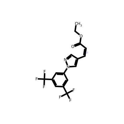 CCOC(=O)/C=C\c1cnn(-c2cc(C(F)(F)F)cc(C(F)(F)F)c2)c1